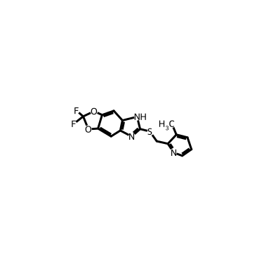 Cc1cccnc1CSc1nc2cc3c(cc2[nH]1)OC(F)(F)O3